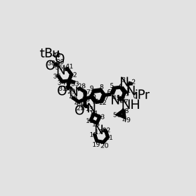 CC(C)n1cnc2cc(-c3ccc4c(c3)N([C@H]3C[C@@H](N5CCCCC5)C3)C(=O)C43CCN(C(=O)C4(C)CCN(C(=O)OC(C)(C)C)CC4)CC3)nc(NC3CC3)c21